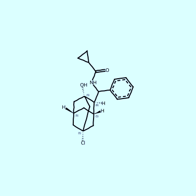 O=C(NC(c1ccccc1)[C@H]1[C@H]2C[C@@H]3C[C@](Cl)(C2)C[C@@]1(O)C3)C1CC1